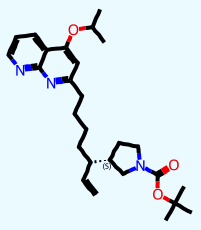 C=CC(CCCCc1cc(OC(C)C)c2cccnc2n1)[C@@H]1CCN(C(=O)OC(C)(C)C)C1